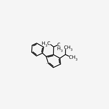 CC(C)c1cc[c]c(-c2ccccc2)c1C(C)C